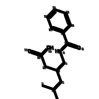 CC(C)CC(CNC(=O)c1ccccc1)CC(=O)O